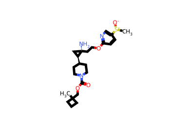 C[S+]([O-])c1ccc(OCC[C@]2(N)C[C@@H]2C2CCN(C(=O)OCC3(C)CCC3)CC2)nc1